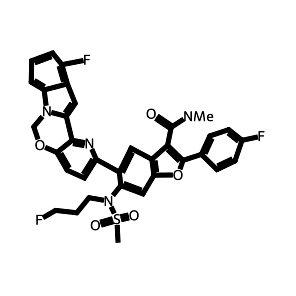 CNC(=O)c1c(-c2ccc(F)cc2)oc2cc(N(CCCF)S(C)(=O)=O)c(-c3ccc4c(n3)-c3cc5c(F)cccc5n3CO4)cc12